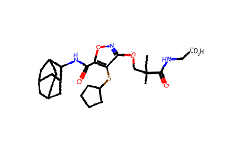 CC(C)(COc1noc(C(=O)NC2C3CC4CC(C3)CC2C4)c1SC1CCCC1)C(=O)NCC(=O)O